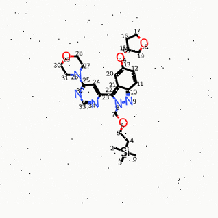 C[Si](C)(C)CCOCn1nc2ccc(O[C@@H]3CCOC3)cc2c1-c1cc(N2CCOCC2)ncn1